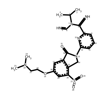 CC(C)N(C=N)C(=N)c1cccc(N2Cc3c(cc(OCCN(C)C)cc3[SH](=O)=O)C2=O)n1